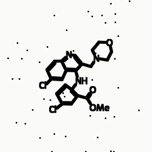 COC(=O)c1cc(Cl)ccc1Nc1c(CN2CCOCC2)cnc2ccc(Cl)cc12